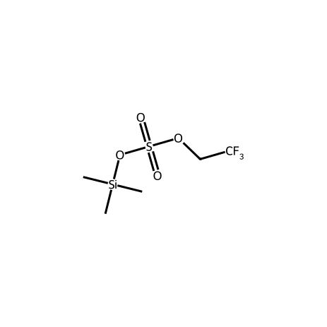 C[Si](C)(C)OS(=O)(=O)OCC(F)(F)F